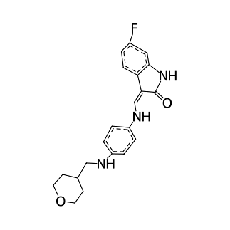 O=C1Nc2cc(F)ccc2C1=CNc1ccc(NCC2CCOCC2)cc1